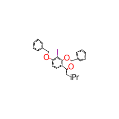 CC(C)CC(=O)c1ccc(OCc2ccccc2)c(I)c1OCc1ccccc1